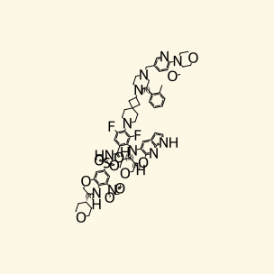 COc1cc(CN2CCN(C3CC4(CCN(c5c(F)cc(C(=O)NS(=O)(=O)c6cc7c(c([N+](=O)[O-])c6)N[C@H](C6CCOCC6)CO7)c(N6c7cc8cc[nH]c8nc7O[C@H]7COCC[C@@H]76)c5F)CC4)C3)[C@H](c3ccccc3C)C2)cnc1N1CCOCC1